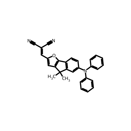 CC1(C)c2cc(N(c3ccccc3)c3ccccc3)ccc2-c2oc(C=C(C#N)C#N)cc21